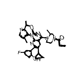 C=CC(=O)N1CCN(c2nc(=O)n(-c3c(C)ccnc3C(C)C)c3nc(-c4cc(F)ccc4O)c(C4CC4)cc23)C(C)C1